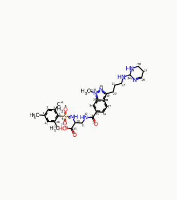 Cc1cc(C)c(S(=O)(=O)NC(CNC(=O)c2ccc3c(CCCNC4N=CCCN4)nn(C)c3c2)C(=O)O)c(C)c1